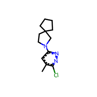 Cc1cc(N2CCC3(CCCC3)C2)nnc1Cl